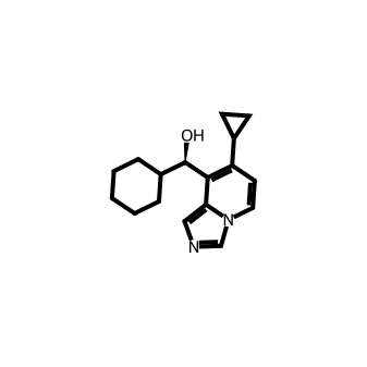 O[C@@H](c1c(C2CC2)ccn2cncc12)C1CCCCC1